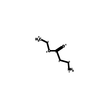 [CH2]COC(=O)CCN